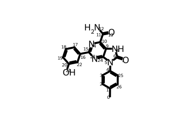 Cc1ccc(-n2c(=O)[nH]c3c(C(N)=O)nc(-c4cccc(O)c4)nc32)cc1